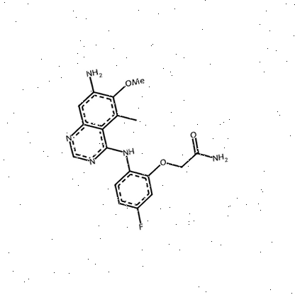 COc1c(N)cc2ncnc(Nc3ccc(F)cc3OCC(N)=O)c2c1C